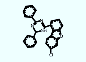 Clc1ccc2c(c1)oc1cccc(C3=NC(c4ccccc4)=NC(c4ccccc4)N3)c12